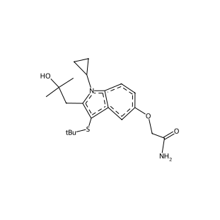 CC(C)(O)Cc1c(SC(C)(C)C)c2cc(OCC(N)=O)ccc2n1C1CC1